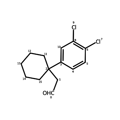 O=CCC1(c2ccc(Cl)c(Cl)c2)CCCCC1